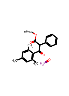 CCCCCCOC(=O)C(C(=O)c1c(C)cc(C)cc1C)c1ccccc1.O=[PH3]